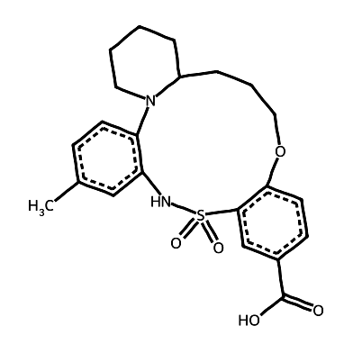 Cc1ccc2c(c1)NS(=O)(=O)c1cc(C(=O)O)ccc1OCCCC1CCCCN21